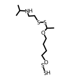 CC(C)NCCSSC(C)OCCCCOSS